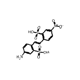 Nc1ccc(C=Cc2ccc([N+](=O)[O-])cc2S(=O)(=O)O)c(S(=O)(=O)O)c1